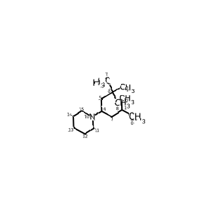 CC(C)CC(CC(C)(C)C)N1CCCCC1